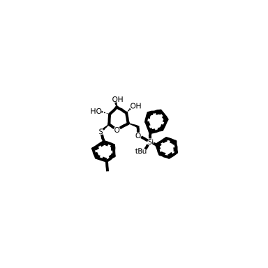 Cc1ccc(S[C@@H]2O[C@H](CO[Si](c3ccccc3)(c3ccccc3)C(C)(C)C)[C@@H](O)[C@H](O)[C@H]2O)cc1